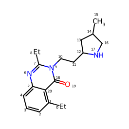 CCc1cccc2nc(CC)n(CCC3CC(C)CN3)c(=O)c12